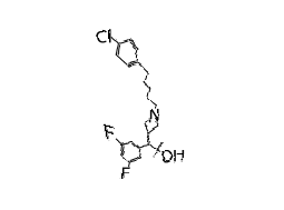 CC(C)(O)C(=C1CN(CCCCCc2ccc(Cl)cc2)C1)c1cc(F)cc(F)c1